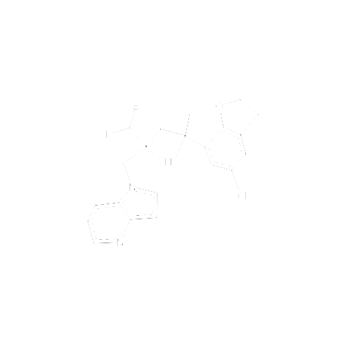 CC(C)(CC(O)(Cn1ccc2ncccc21)C(F)F)c1cc(Cl)cc2c1OCC2